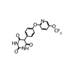 O=C1NC(=O)C(c2ccc(Oc3ccc(OC(F)(F)F)cn3)cc2)C(=O)N1